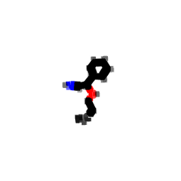 C=CCOC(C#N)c1ccccc1